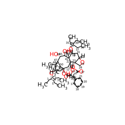 CC[Si](CC)(CC)OC1C[C@@]2(O)[C@@H](OC(=O)c3ccccc3)[C@@H]3[C@]4(OC(C)=O)CO[C@@H]4CC(O[Si](CC)(CC)CC)[C@@]3(C)[C@@H](O)[C@@H](O)C(=C1C)C2(C)C